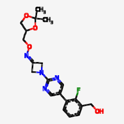 CC1(C)OCC(CON=C2CN(c3ncc(-c4cccc(CO)c4F)cn3)C2)O1